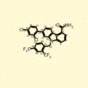 NC(=O)c1cccc2c1c1[c]cc(-c3ccc(Cl)cc3Cl)cc1n2Cc1ccc(C(F)(F)F)cc1C(F)(F)F